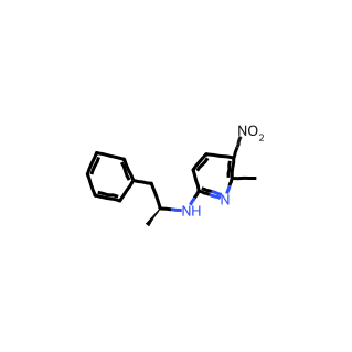 Cc1nc(N[C@@H](C)Cc2ccccc2)ccc1[N+](=O)[O-]